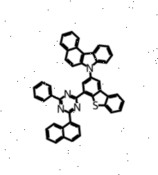 c1ccc(-c2nc(-c3cccc4ccccc34)nc(-c3cc(-n4c5ccccc5c5c6ccccc6ccc54)cc4c3sc3ccccc34)n2)cc1